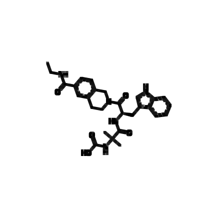 CCNC(=O)c1ccc2c(c1)CCN(C(=O)[C@@H](Cc1c[nH]c3ccccc13)NC(=O)C(C)(C)NC(=O)O)C2